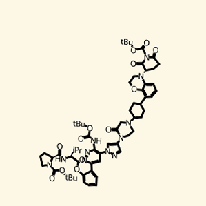 CC(C)[C@H](NC(=O)[C@@H]1CCCN1C(=O)OC(C)(C)C)C(=O)Oc1ccccc1-c1cc(-n2cc(N3CCN(C4CCC(c5cccc6c5OCCN6[C@H]5CCC(=O)N(C(=O)OC(C)(C)C)C5=O)CC4)CC3=O)cn2)c(NC(=O)OC(C)(C)C)nn1